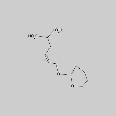 O=C(O)C(C/C=C\COC1CCCCO1)C(=O)O